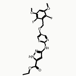 CCOC(=O)c1cc(Nc2ncc(OCc3c(F)c(OC)cc(OC)c3F)cn2)n[nH]1